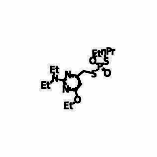 CCCSP(=O)(OCC)SCc1cc(OCC)nc(N(CC)CC)n1